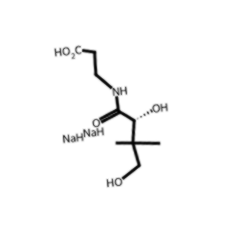 CC(C)(CO)[C@@H](O)C(=O)NCCC(=O)O.[NaH].[NaH]